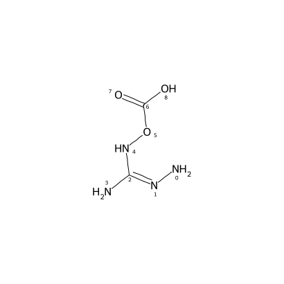 NN=C(N)NOC(=O)O